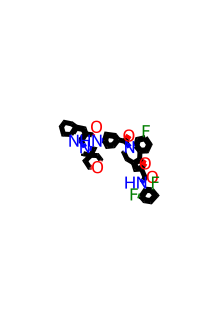 O=C(Nc1c(F)cccc1F)c1cc2c(o1)-c1ccc(F)cc1N(C(=O)c1ccc(NC(=O)c3cc4c(nc3N3CC5(CCOCC5)C3)CCCC4)cc1)CC2